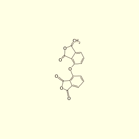 C=C1OC(=O)c2c(Oc3cccc4c3C(=O)OC4=O)cccc21